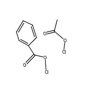 CC(=O)OCl.O=C(OCl)c1ccccc1